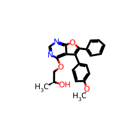 COc1ccc(-c2c(-c3ccccc3)oc3ncnc(OC[C@H](C)O)c23)cc1